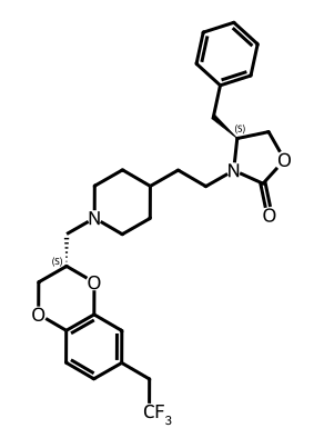 O=C1OC[C@H](Cc2ccccc2)N1CCC1CCN(C[C@H]2COc3ccc(CC(F)(F)F)cc3O2)CC1